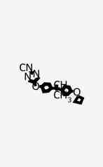 CC(C)(c1ccc(Oc2cnc(C#N)nc2)cc1)c1ccc(OC2CCC2)cc1